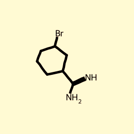 N=C(N)C1CCCC(Br)C1